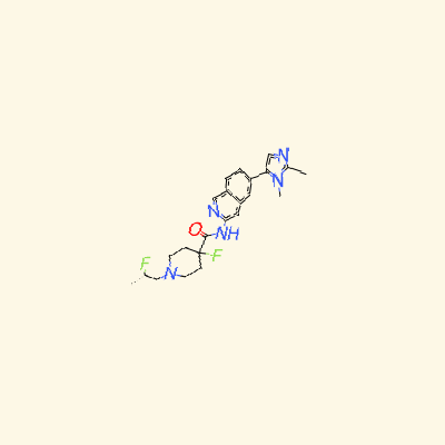 Cc1ncc(-c2ccc3cnc(NC(=O)C4(F)CCN(C[C@H](C)F)CC4)cc3c2)n1C